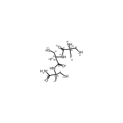 NC(=O)[C@@](F)(CS)NC(=O)[C@@](F)(CS)NC(=O)[C@@](N)(F)CS